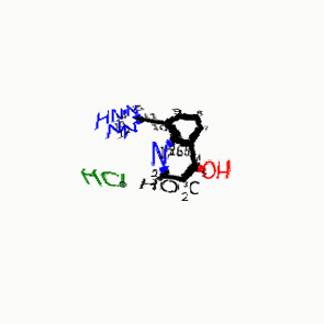 Cl.O=C(O)c1cc(O)c2cccc(-c3nn[nH]n3)c2n1